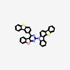 c1ccc2c(c1)oc1nc(-n3c4ccccc4c4c5sc6ccccc6c5ccc43)nc(-c3ccc4sc5ccccc5c4c3)c12